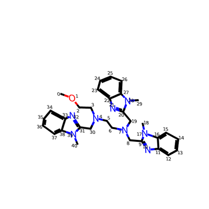 COCCN(CCN(Cc1nc2ccccc2n1C)Cc1nc2ccccc2n1C)Cc1nc2ccccc2n1C